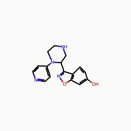 Oc1ccc2c(C3CNCCN3c3ccncc3)noc2c1